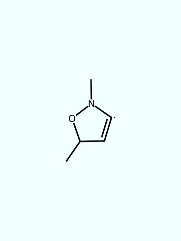 CC1C=[C]N(C)O1